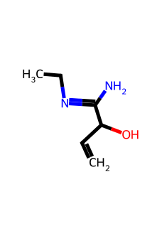 C=CC(O)C(N)=NCC